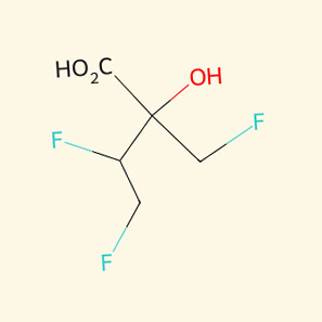 O=C(O)C(O)(CF)C(F)CF